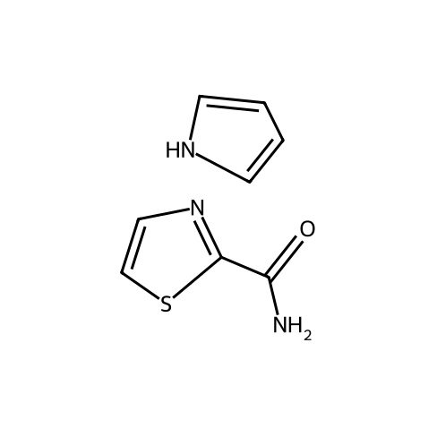 NC(=O)c1nccs1.c1cc[nH]c1